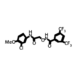 COc1ccc(NC(=O)CONC(=O)c2cc(C(F)(F)F)cc(C(F)(F)F)c2)cc1Cl